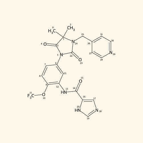 CC1(C)C(=O)N(c2ccc(OC(F)(F)F)c(NC(=O)c3cnc[nH]3)c2)C(=O)N1Cc1ccncc1